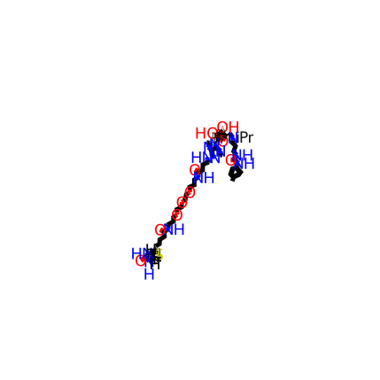 Cc1ccc(NC(=O)NCCCN(C[C@H]2O[C@@H](n3cnc4c(NCCCC(=O)NCCCOCCOCCOCCCNC(=O)CCCC[C@@H]5SC[C@@H]6NC(=O)N[C@@H]65)ncnc43)[C@H](O)[C@@H]2O)C(C)C)cc1